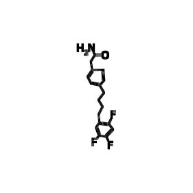 NC(=O)Cc1ccc(CCCCc2cc(F)c(F)cc2F)cc1